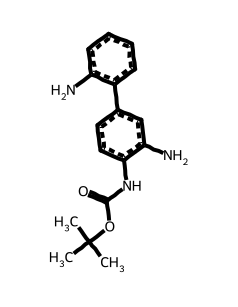 CC(C)(C)OC(=O)Nc1ccc(-c2ccccc2N)cc1N